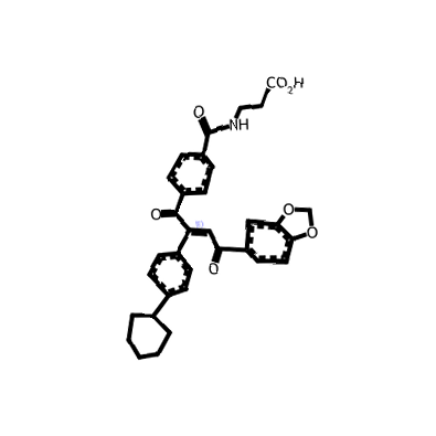 O=C(O)CCNC(=O)c1ccc(C(=O)/C(=C/C(=O)c2ccc3c(c2)OCO3)c2ccc(C3CCCCC3)cc2)cc1